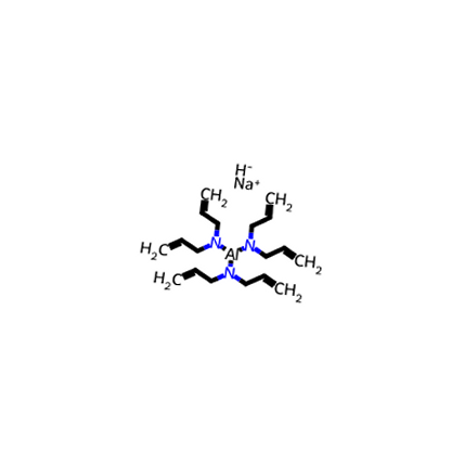 C=CC[N](CC=C)[Al]([N](CC=C)CC=C)[N](CC=C)CC=C.[H-].[Na+]